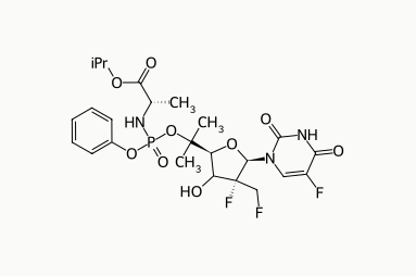 CC(C)OC(=O)[C@H](C)NP(=O)(Oc1ccccc1)OC(C)(C)[C@H]1O[C@@H](n2cc(F)c(=O)[nH]c2=O)[C@@](F)(CF)C1O